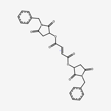 O=C(/C=C/C(=O)OC1CC(=O)N(Cc2ccccc2)C1=O)OC1CC(=O)N(Cc2ccccc2)C1=O